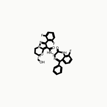 O=C(N[C@H]1N=C(c2ccccc2)c2cccc(F)c2NC1=O)c1c(-c2c(F)cccc2F)nn2c1O[C@H](CO)CC2